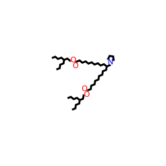 CCCCC(CCCC)CCOC(=O)CCCCCCCCCC(CCCCCCCCCC(=O)OCCC(CCCC)CCCC)CN1CCCC1